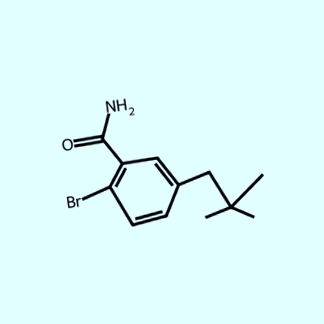 CC(C)(C)Cc1ccc(Br)c(C(N)=O)c1